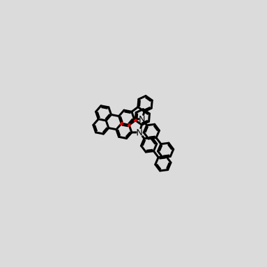 c1ccc(-c2ccc(-n3c4ccccc4c4cc(-c5cccc6cccc(-c7ccc8c(c7)c7ccccc7n8-c7ccc(-c8ccccc8)cc7)c56)ccc43)cc2)cc1